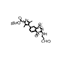 Cc1nn(C(=O)OC(C)(C)C)c(C)c1-c1ccc2c(c1)[n+]([O-])nc(NCCC=O)[n+]2[O-]